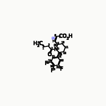 C=CCC(=O)N1[C@@H](/C=C\C(=O)O)CCC[C@H]1c1cc(F)c(F)c(F)c1